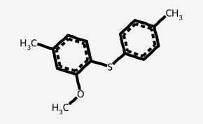 COc1cc(C)ccc1Sc1ccc(C)cc1